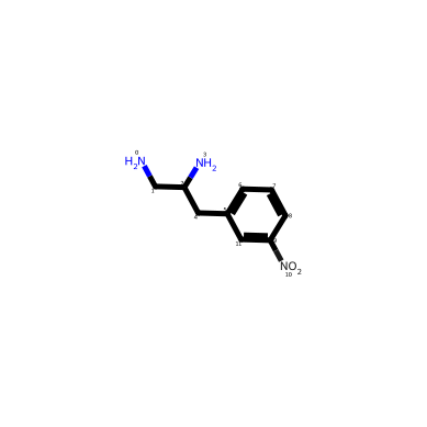 NCC(N)Cc1cccc([N+](=O)[O-])c1